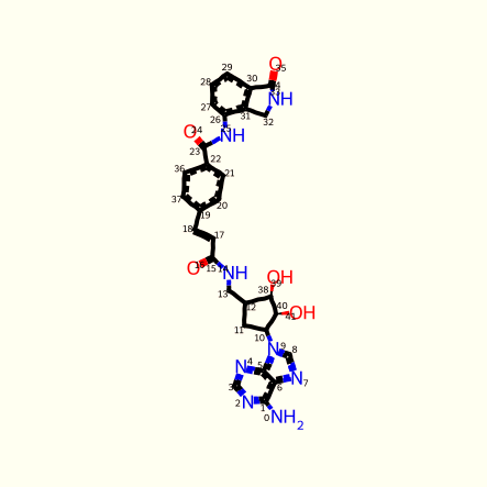 Nc1ncnc2c1ncn2C1CC(CNC(=O)/C=C/c2ccc(C(=O)Nc3cccc4c3CNC4=O)cc2)[C@@H](O)[C@H]1O